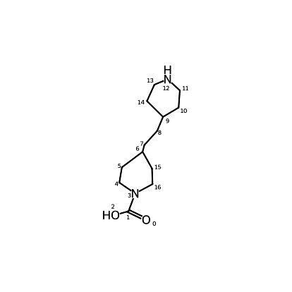 O=C(O)N1CCC(CCC2CCNCC2)CC1